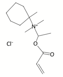 C=CC(=O)OC(C)[N+](C)(C)C1(C)CCCCC1.[Cl-]